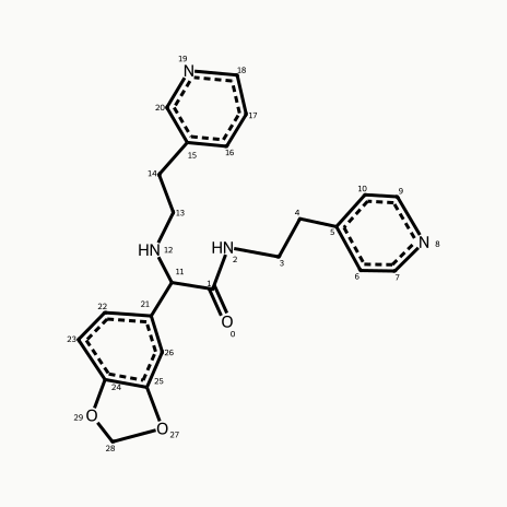 O=C(NCCc1ccncc1)C(NCCc1cccnc1)c1ccc2c(c1)OCO2